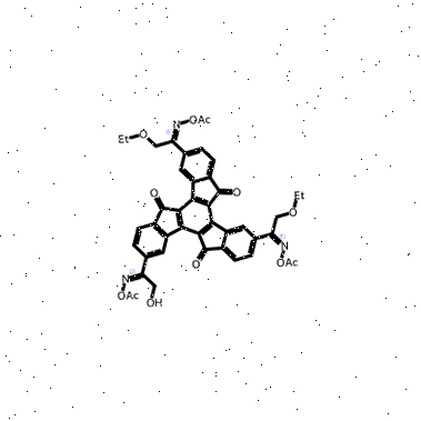 CCOC/C(=N/OC(C)=O)c1ccc2c(=O)c3c4c5cc(/C(CO)=N/OC(C)=O)ccc5c(=O)c4c4c5cc(/C(COCC)=N\OC(C)=O)ccc5c(=O)c4c3c2c1